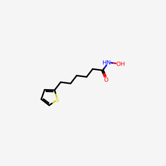 O=C(CCCCCc1cccs1)NO